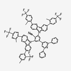 Cc1ccc(-c2ccc3c(c2)c2cc(-c4ccc(C(F)(F)F)cc4C)ccc2n3-c2cc(-c3cc(-c4ccccc4)nc(-c4ccccc4)c3)cc(-n3c4ccc(-c5ccc(C(F)(F)F)cc5C)cc4c4cc(-c5ccc(C(F)(F)F)cc5C)ccc43)c2C#N)c(C(F)(F)F)c1